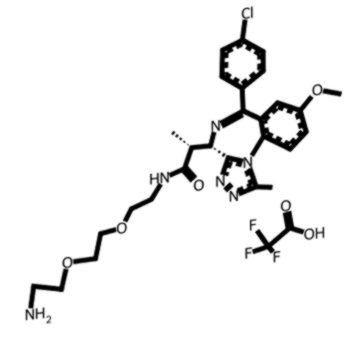 COc1ccc2c(c1)C(c1ccc(Cl)cc1)=N[C@@H]([C@@H](C)C(=O)NCCOCCOCCN)c1nnc(C)n1-2.O=C(O)C(F)(F)F